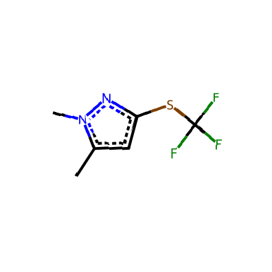 Cc1cc(SC(F)(F)F)nn1C